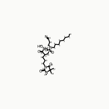 CCCCCCCCN(CCC#N)S(=O)(=O)CC(CCCN1C(=O)N(C)C(C)(C)C1=O)C(=O)NO